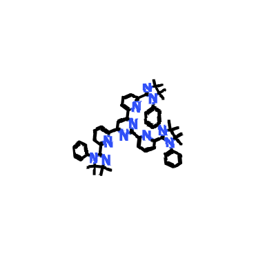 CC1(C)N=C(c2cccc(-c3cc(-c4cccc(C5=NC(C)(C)C(C)(C)N5c5ccccc5)n4)nc(-c4cccc(C5=NC(C)(C)C(C)(C)N5c5ccccc5)n4)n3)n2)N(c2ccccc2)C1(C)C